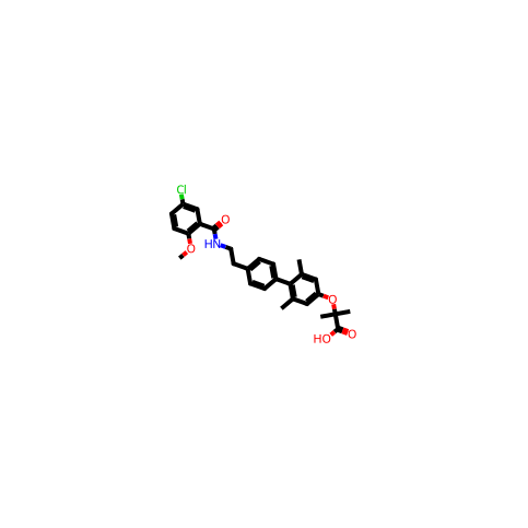 COc1ccc(Cl)cc1C(=O)NCCc1ccc(-c2c(C)cc(OC(C)(C)C(=O)O)cc2C)cc1